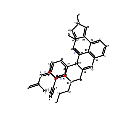 C=C(N)/N=C(C)\C(C#N)=C(/C)N(CCC)CC1=Nc2cccc(-c3cnn(C)c3)c2/C(=C\CC)N1c1ccccc1